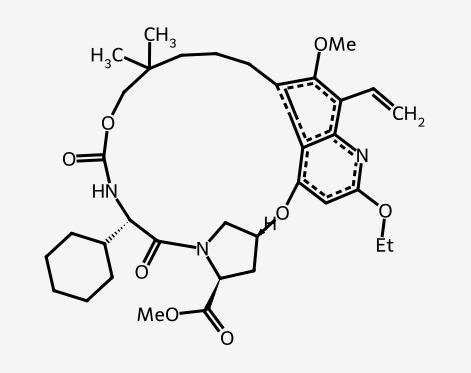 C=Cc1c(OC)c2cc3c(cc(OCC)nc13)O[C@@H]1C[C@@H](C(=O)OC)N(C1)C(=O)[C@H](C1CCCCC1)NC(=O)OCC(C)(C)CCC2